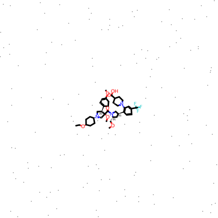 CCO[C@H]1CC[C@H](N2C[C@@H](C3=CC=C(OC)CC3)[C@](OC)(C(=O)N3C[C@@H](c4ccc(C(F)(F)F)cc4N4CCC(C(=O)O)CC4)C[C@@H]3COC)C2)CC1